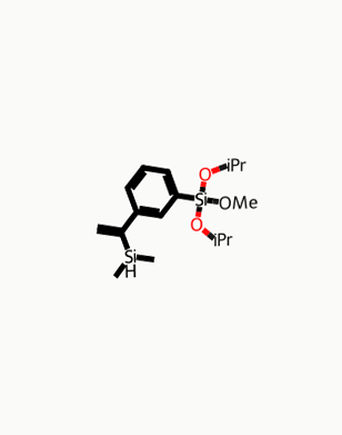 C=C(c1cccc([Si](OC)(OC(C)C)OC(C)C)c1)[SiH](C)C